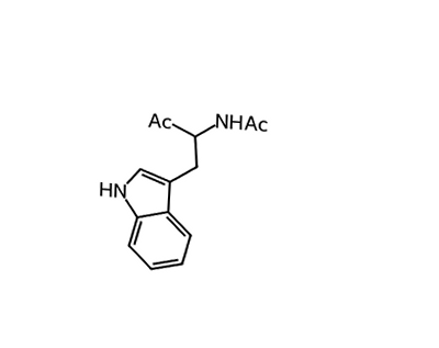 CC(=O)NC(Cc1c[nH]c2ccccc12)C(C)=O